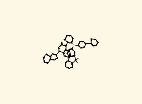 CC1(C)c2ccccc2-c2ccc(N(c3ccc(-c4ccccc4)cc3)c3cccc4oc5cc(-c6ccc7ccccc7c6)c6ccccc6c5c34)cc21